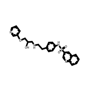 O=S(=O)(Nc1ccc(CCNCC(O)COc2cccnc2)cc1)c1cnc2ccccc2c1